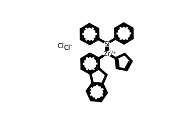 C1=CC[C]([Zr+2]([c]2cccc3c2Cc2ccccc2-3)=[Si](c2ccccc2)c2ccccc2)=C1.[Cl-].[Cl-]